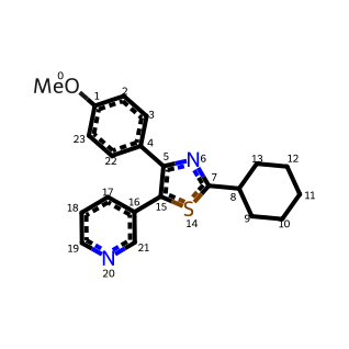 COc1ccc(-c2nc(C3CCCCC3)sc2-c2cccnc2)cc1